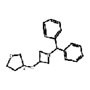 c1ccc(C(c2ccccc2)N2CC(O[C@H]3CCOC3)C2)cc1